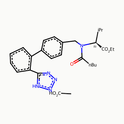 CC(=O)O.CCCCC(=O)N(Cc1ccc(-c2ccccc2-c2nnn[nH]2)cc1)[C@H](C(=O)OCC)C(C)C